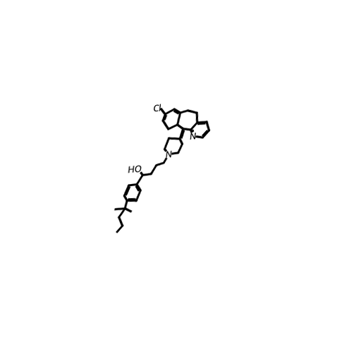 CCCC(C)(C)c1ccc(C(O)CCCN2CCC(=C3c4ncccc4CCC4=CC(Cl)=CCC43)CC2)cc1